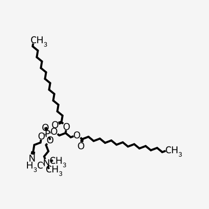 CCCCCCCCCCCCCCCC(=O)OCC(COP(=O)(OCCC#N)OCCC[N+](C)(C)C)OC(=O)CCCCCCCCCCCCCCC